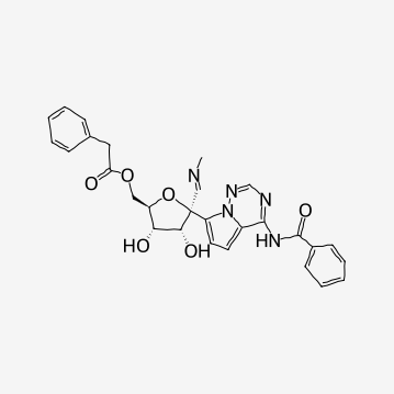 CN=C[C@@]1(c2ccc3c(NC(=O)c4ccccc4)ncnn23)O[C@H](COC(=O)Cc2ccccc2)[C@@H](O)[C@H]1O